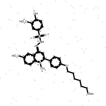 CCCCCCCCCCCCCCCCOc1ccc(-c2cc(=NNS(=O)(=O)c3ccc(O)c(C(=O)O)c3)c3cc(S(=O)(=O)O)ccc3n2C)cc1